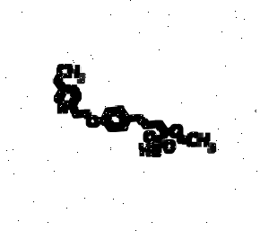 CCOC(CCCc1ccc(OCCc2ccc(CC)cn2)cc1)S(=O)(=O)O